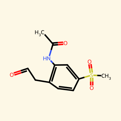 CC(=O)Nc1cc(S(C)(=O)=O)ccc1CC=O